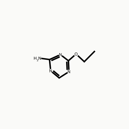 CCOc1ncnc(N)n1